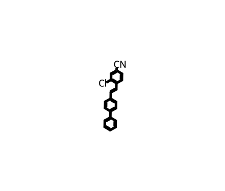 N#Cc1ccc(C=Cc2ccc(-c3ccccc3)cc2)c(Cl)c1